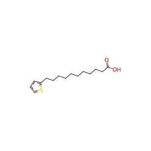 O=C(O)CCCCCCCCCCc1cccs1